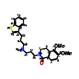 COc1ccc2c(c1OC)CCN(CCCN(C)CCCc1csc3ccccc13)C2=O